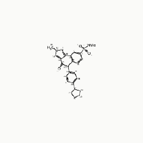 CNS(=O)(=O)c1ccc2c(c1)c1nn(C)cc1c(=O)n2-c1ccc(C2CCCC2)cc1